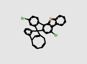 Brc1ccc2c(c1)C1(C3=CC(/C=C\C=C/C3)c3ccccc31)c1cc(Br)c3c(sc4ccccc43)c1-2